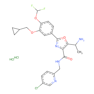 CC(N)c1oc(-c2ccc(OC(F)F)c(OCC3CC3)c2)nc1C(=O)NCc1ccc(Cl)cn1.Cl.Cl